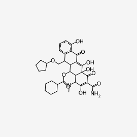 CN(C)C1C(O)=C(C(N)=O)C(=O)C2(O)C(O)=C3C(=O)c4c(O)cccc4C(COC4CCCC4)C3C(OC(=O)C3CCCCC3)C12